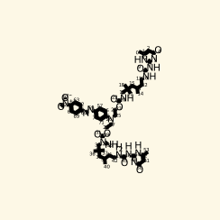 Cc1cc(=O)nc(NC(=O)NCCC(C)CC(C)(C)CNC(=O)OCCN(CCOC(=O)N(N)CC(C)(C)CC(C)CCNC(=O)Nc2nc(=O)cc(C)[nH]2)c2ccc(/N=N/c3ccc([N+](=O)[O-])cc3)cc2)[nH]1